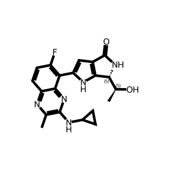 Cc1nc2ccc(F)c(-c3cc4c([nH]3)[C@@H]([C@H](C)O)NC4=O)c2nc1NC1CC1